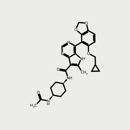 CC(=O)N[C@H]1CC[C@@H](NC(=O)c2c(C)[nH]c3c(-c4c(OCC5CC5)ccc5c4OCO5)ncnc23)CC1